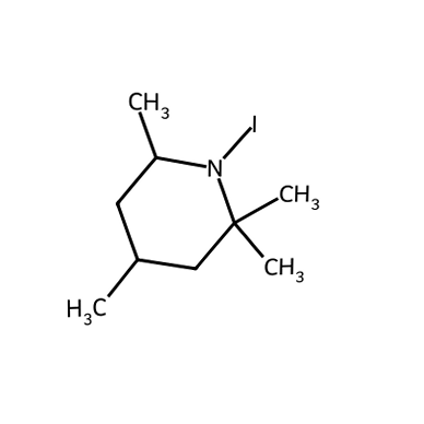 CC1CC(C)N(I)C(C)(C)C1